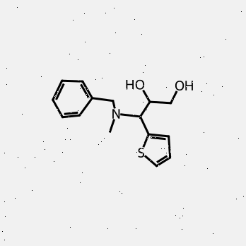 CN(Cc1ccccc1)C(c1cccs1)C(O)CO